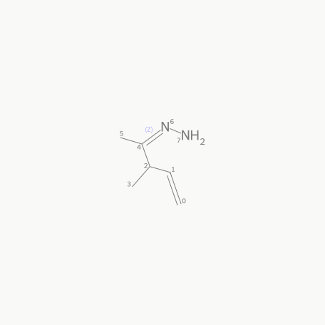 C=CC(C)/C(C)=N\N